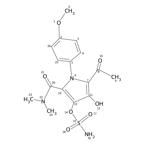 COc1ccc(-n2c(C(C)=O)c(O)c(OS(N)(=O)=O)c2C(=O)N(C)C)cc1